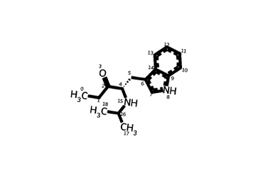 CCC(=O)[C@H](Cc1c[nH]c2ccccc12)NC(C)C